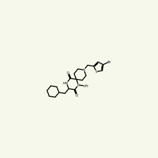 CCCN1C(=O)C(CC2CCCCC2)NC(=O)C12CCN(Cc1cc(Br)cs1)CC2